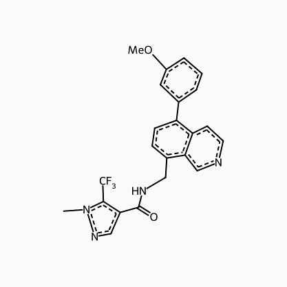 COc1cccc(-c2ccc(CNC(=O)c3cnn(C)c3C(F)(F)F)c3cnccc23)c1